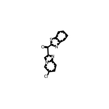 O=C(c1cn2cc(Cl)ccc2n1)c1nc2ccccc2s1